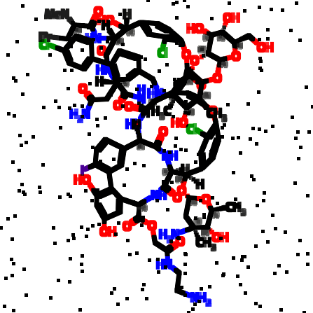 CN[C@H](CC(C)C)C(=O)N[C@H]1C(=O)N[C@@H](CC(N)=O)C(=O)N[C@H]2C(=O)N[C@H]3C(=O)N[C@H](C(=O)N[C@@H](C(=O)OCC(=O)NCCN)c4cc(O)cc(O)c4-c4cc3ccc4I)[C@H](O[C@H]3C[C@](C)(N)[C@@H](O)[C@H](C)O3)c3ccc(c(Cl)c3)Oc3cc2cc(c3O[C@@H]2O[C@H](CO)[C@@H](O)[C@H](O)[C@H]2O[C@H]2C[C@](C)(NCc3ccc(-c4ccc(Cl)cc4)cc3)[C@@H](O)[C@H](C)O2)Oc2ccc(cc2Cl)[C@H]1O